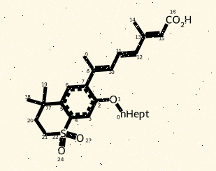 CCCCCCCOc1cc2c(cc1/C(C)=C/C=C/C(C)=C/C(=O)O)C(C)(C)CCS2(=O)=O